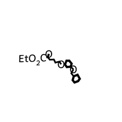 CCOC(=O)C(=O)CCCCOc1cccc(OCc2ccccc2)c1